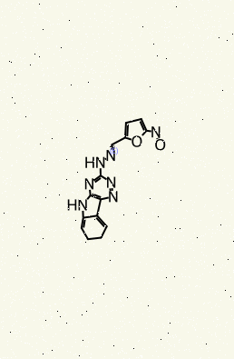 O=Nc1ccc(/C=N/Nc2nnc3c4c([nH]c3n2)=CCCC=4)o1